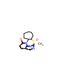 C.O=c1ccc2cnc3nc2n1C1CCCCCC1[S+]3[O-]